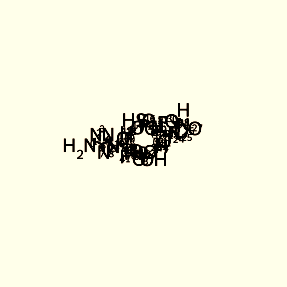 Nc1ncnc2c1ncn2[C@@H]1O[C@@H]2COP(=O)(S)O[C@@H]3[C@H](F)[C@H](n4ccc(=O)[nH]c4=O)O[C@@H]3COP(=O)(O)O[C@@H]2[C@@H]1F